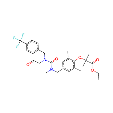 CCOC(=O)C(C)(C)Oc1c(C)cc(CN(C)C(=O)N(CC=O)Cc2ccc(C(F)(F)F)cc2)cc1C